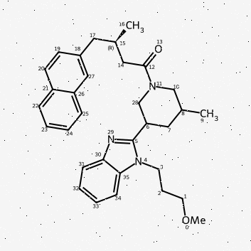 COCCCn1c(C2CC(C)CN(C(=O)C[C@H](C)Cc3ccc4ccccc4c3)C2)nc2ccccc21